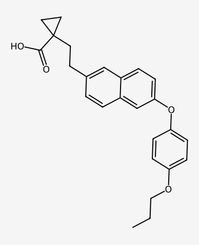 CCCOc1ccc(Oc2ccc3cc(CCC4(C(=O)O)CC4)ccc3c2)cc1